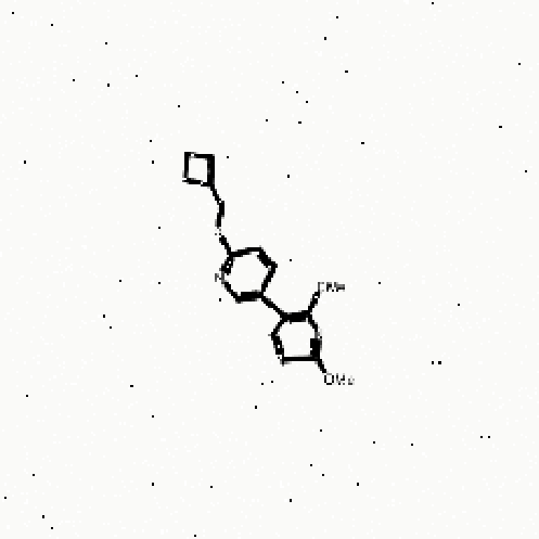 COc1ncc(-c2ccc(OCC3CCC3)nc2)c(OC)n1